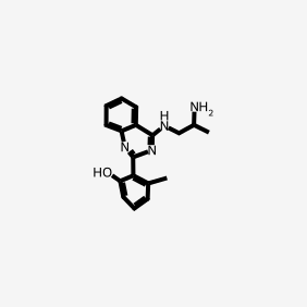 Cc1cccc(O)c1-c1nc(NCC(C)N)c2ccccc2n1